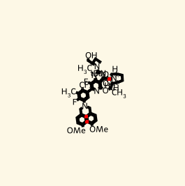 COc1ccc(CN(Cc2ccc(OC)cc2)c2cc(-c3nc4c5c(nc(N6CC[C@@]6(C)CO)nc5c3F)N3C[C@H]5CC[C@@H]([C@H]3[C@H](C)O4)N5C(=O)OC(C)(C)C)c(C(F)(F)F)c(C)c2F)cc1